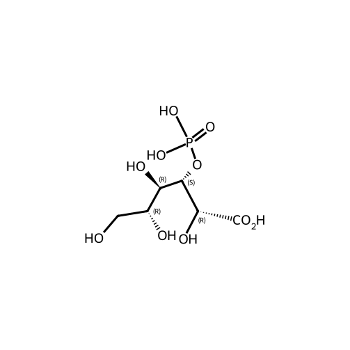 O=C(O)[C@H](O)[C@@H](OP(=O)(O)O)[C@H](O)[C@H](O)CO